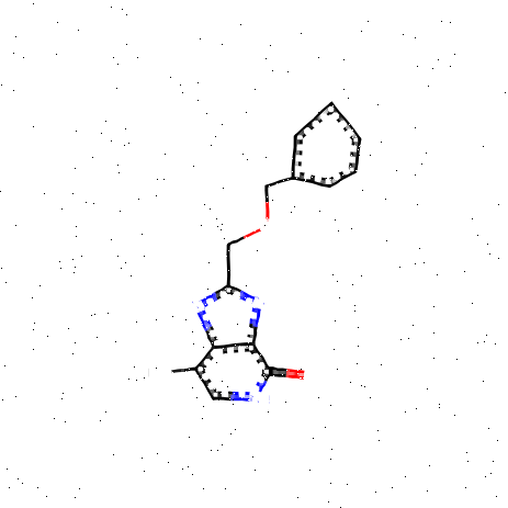 O=c1[nH]cc(C(F)(F)F)c2nc(COCc3ccccc3)[nH]c12